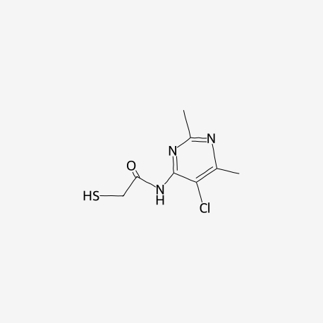 Cc1nc(C)c(Cl)c(NC(=O)CS)n1